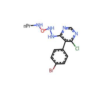 CCCNONNc1ncnc(Cl)c1-c1ccc(Br)cc1